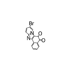 O=C1C(=O)c2c(nc3ccc(Br)cn23)-c2ccccc21